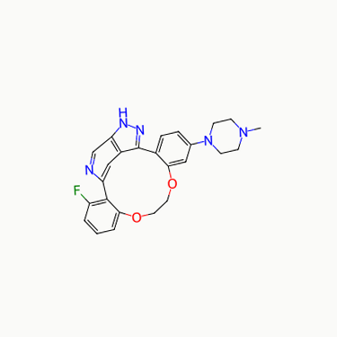 CN1CCN(c2ccc3c(c2)OCCOc2cccc(F)c2-c2cc4c-3n[nH]c4cn2)CC1